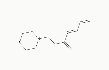 C=CC=CC(=C)CCN1CCSCC1